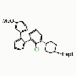 CCCCCCC[C@H]1CC[C@H](c2cccc(-c3ccccc3-c3cccc(OC)c3)c2Cl)CC1